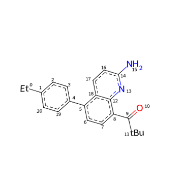 CCc1ccc(-c2ccc(C(=O)C(C)(C)C)c3nc(N)ccc23)cc1